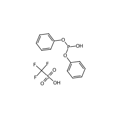 O=S(=O)(O)C(F)(F)F.OP(Oc1ccccc1)Oc1ccccc1